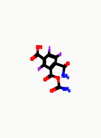 NC(=O)OC(=O)c1c(I)c(C(=O)O)c(I)c(I)c1C(N)=O